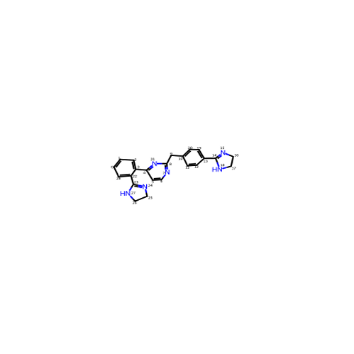 c1ccc(-c2ccnc(Cc3ccc(C4=NCCN4)cc3)n2)c(C2=NCCN2)c1